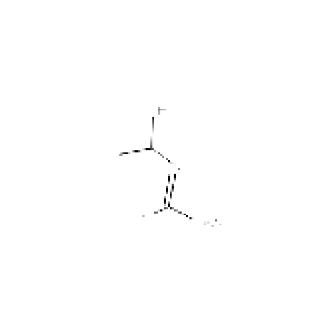 CO/C(C)=N/C(C)Cl